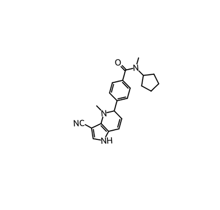 CN(C(=O)c1ccc(C2C=Cc3[nH]cc(C#N)c3N2C)cc1)C1CCCC1